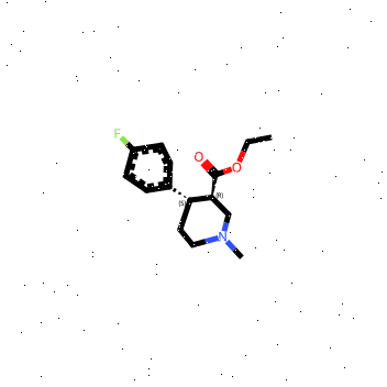 CCOC(=O)[C@H]1CN(C)CC[C@@H]1c1ccc(F)cc1